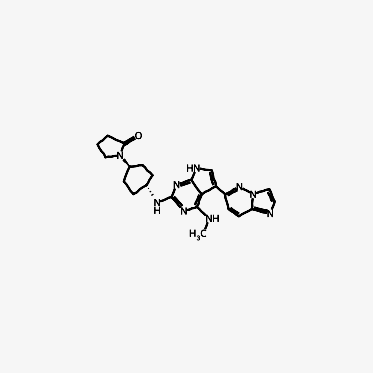 CNc1nc(N[C@H]2CC[C@H](N3CCCC3=O)CC2)nc2[nH]cc(-c3ccc4nccn4n3)c12